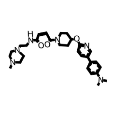 CN1CCN(CCNC(=O)/C=C\C(=O)N2CCC(Oc3ccc(-c4ccc(N(C)C)cc4)cn3)CC2)CC1